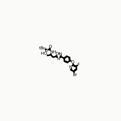 CC(C)(C)OC(=O)NC(CO)Cc1nc(-c2ccc(Oc3ncc(Br)cc3F)cc2)no1